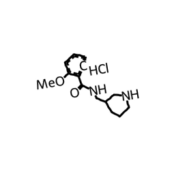 COc1ccccc1C(=O)NCC1CCCNC1.Cl